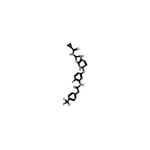 O=C(Cc1ccc(C(F)(F)F)cc1)Nc1cc(OC2C=CC3=C(N2)SC(NC(=O)C2CC2)N3)ccc1F